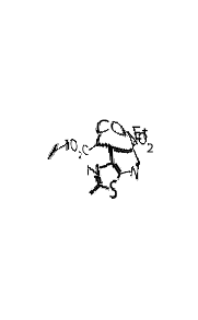 CCOC(=O)C(C(=O)O)c1c([N+](=O)[O-])cnc2sc(C)nc12